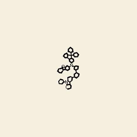 C1=CC(N2c3ccccc3C3C=C(c4cccc(-c5cccc(N(c6ccc7c(c6)-c6ccccc6C7(c6ccccc6)c6ccccc6)c6ccc7c(c6)oc6ccccc67)c5)c4)C=CC32)=CCC1